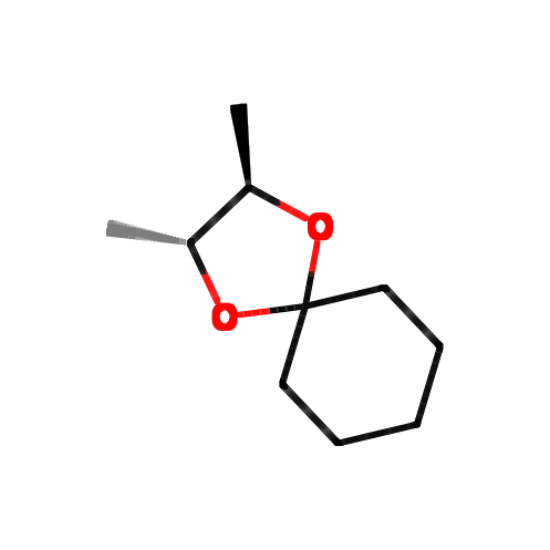 C[C@H]1OC2(CCCCC2)O[C@@H]1C